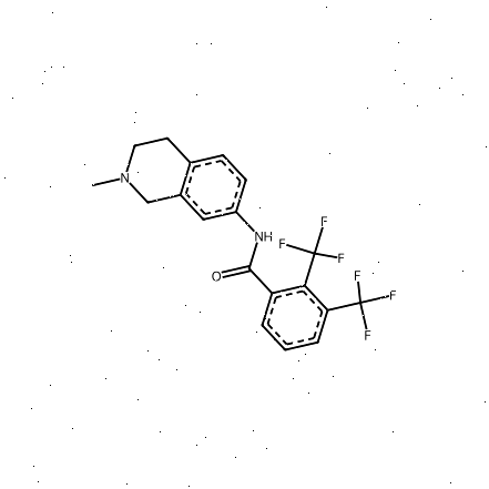 CN1CCc2ccc(NC(=O)c3cccc(C(F)(F)F)c3C(F)(F)F)cc2C1